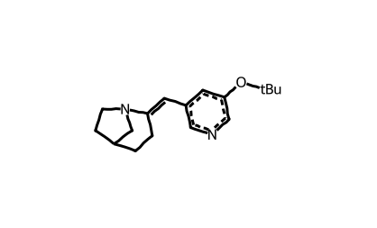 CC(C)(C)Oc1cncc(/C=C2\CCC3CCN2C3)c1